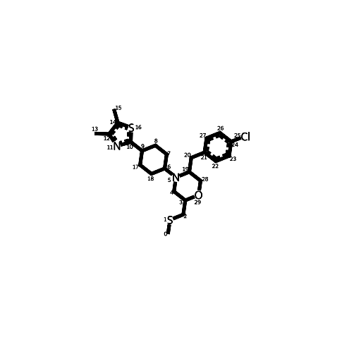 CSCC1CN(C2CCC(c3nc(C)c(C)s3)CC2)C(Cc2ccc(Cl)cc2)CO1